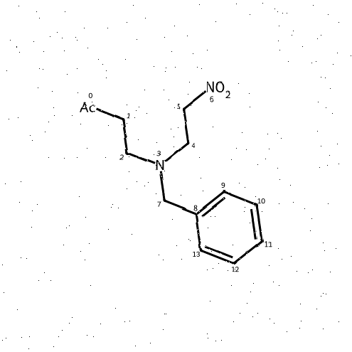 CC(=O)CCN(CC[N+](=O)[O-])Cc1ccccc1